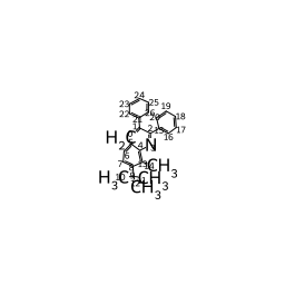 C=C(/C(=N\c1cccc(C(C)(C)C)c1C)c1ccccc1)c1ccccc1